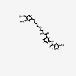 COc1ccc(CCCCOCCNC(=O)c2cccc(NC(=O)[C@@H]3C[C@H](S)CN3)c2)cc1OC